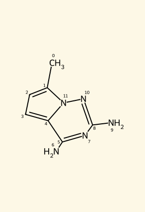 Cc1ccc2c(N)nc(N)nn12